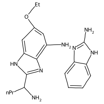 CCCC(N)c1nc2c(N)cc(OCC)cc2[nH]1.Nc1nc2ccccc2[nH]1